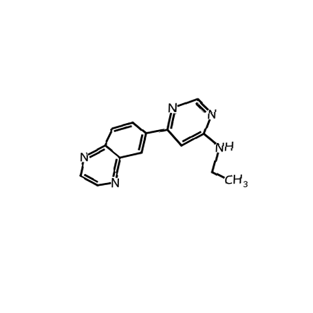 CCNc1cc(-c2ccc3nccnc3c2)ncn1